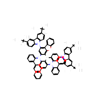 CC(C)(C)c1ccc2c(c1)c1cc(C(C)(C)C)ccc1n2-c1ccc2c(c1)N(c1ccccc1-c1ccccc1)c1cc(-c3ccccc3)cc3c1B2c1c(cc(-n2c4ccc(C(C)(C)C)cc4c4cc(C(C)(C)C)ccc42)c2c1oc1ccccc12)N3c1ccccc1-c1ccccc1